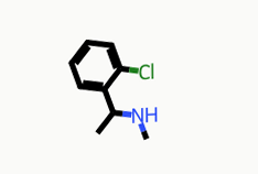 CNC(C)c1ccccc1Cl